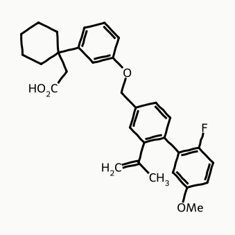 C=C(C)c1cc(COc2cccc(C3(CC(=O)O)CCCCC3)c2)ccc1-c1cc(OC)ccc1F